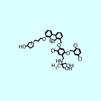 CC(CO)(CO)NCc1cc(Cl)c(OCc2cccc(-c3cccc(OCCCN4CCC(O)C4)c3Cl)c2Cl)cc1OCc1cc(Cl)ccc1Cl